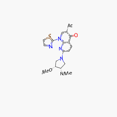 CN[C@H]1CN(c2ccc3c(=O)c(C(C)=O)cn(-c4nccs4)c3n2)C[C@H]1OC